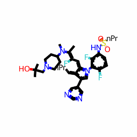 CCC/C=c1/c(-c2cncnc2)cn(-c2c(F)ccc(NS(=O)(=O)CCC)c2F)/c1=C/C(F)=C(\C)N(C)C1CCN(CC(C)(C)O)CC1